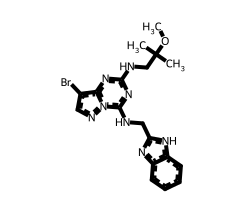 COC(C)(C)CNc1nc(NCc2nc3ccccc3[nH]2)n2ncc(Br)c2n1